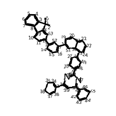 CC1(C)c2ccccc2-c2ccc(-c3cccc(-c4ccc5cccc(-c6ccc(-c7nc(C8=CCCC=C8)cc(-c8ccccc8)n7)cc6)c5c4)c3)cc21